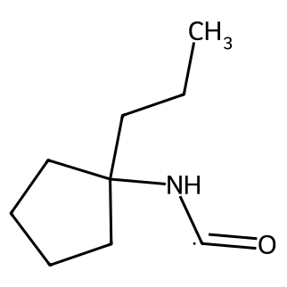 CCCC1(N[C]=O)CCCC1